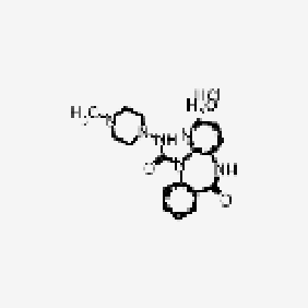 CN1CCN(NC(=O)N2c3ccccc3C(=O)Nc3cccnc32)CC1.Cl.O